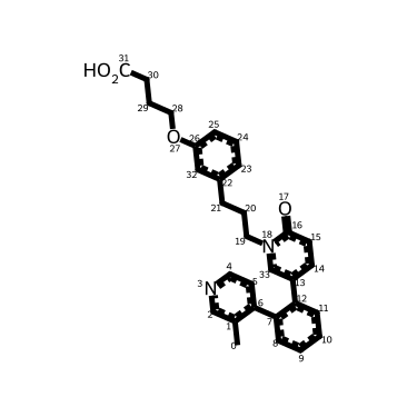 Cc1cnccc1-c1ccccc1-c1ccc(=O)n(CCCc2cccc(OCCCC(=O)O)c2)c1